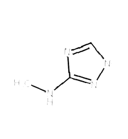 CNC1=N[N]C=N1